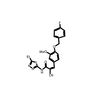 CCc1nnc(NC(=O)C(C#N)=Cc2ccc(OCc3ccc(F)cc3)c(OC)c2)s1